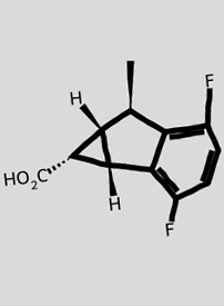 C[C@H]1c2c(F)ccc(F)c2[C@@H]2[C@H](C(=O)O)[C@@H]21